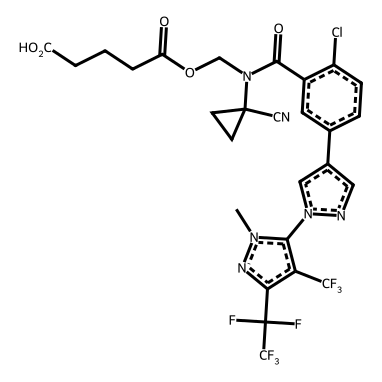 Cn1nc(C(F)(F)C(F)(F)F)c(C(F)(F)F)c1-n1cc(-c2ccc(Cl)c(C(=O)N(COC(=O)CCCC(=O)O)C3(C#N)CC3)c2)cn1